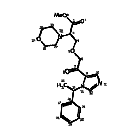 COC(=O)C(COCC(=O)c1cncn1[C@H](C)c1ccccc1)N1CCOCC1